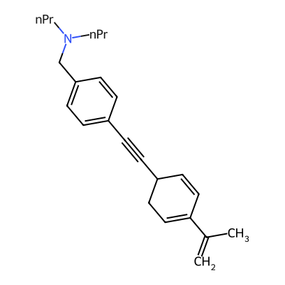 C=C(C)C1=CCC(C#Cc2ccc(CN(CCC)CCC)cc2)C=C1